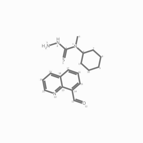 CN(C(=S)NN)C1CCCCC1.O=Cc1cccc2cccnc12